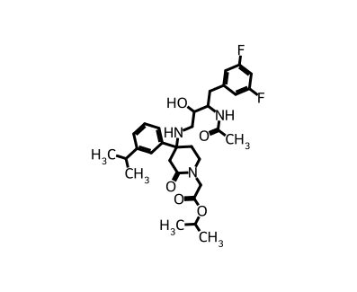 CC(=O)NC(Cc1cc(F)cc(F)c1)C(O)CNC1(c2cccc(C(C)C)c2)CCN(CC(=O)OC(C)C)C(=O)C1